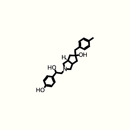 Cc1ccc(CC2(O)CC3CN(CC(O)c4ccc(O)cc4)C[C@H]3C2)cc1